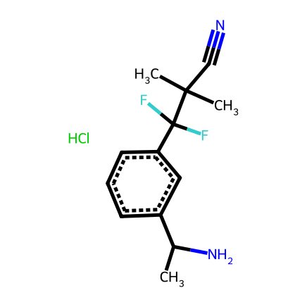 CC(N)c1cccc(C(F)(F)C(C)(C)C#N)c1.Cl